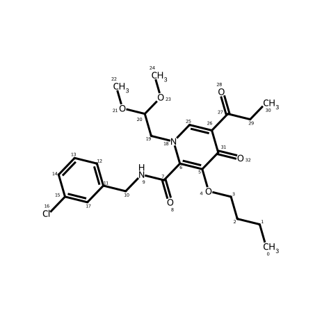 CCCCOc1c(C(=O)NCc2cccc(Cl)c2)n(CC(OC)OC)cc(C(=O)CC)c1=O